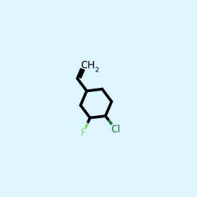 C=CC1CCC(Cl)C(F)C1